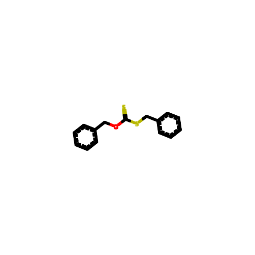 S=C(OCc1ccccc1)SCc1ccccc1